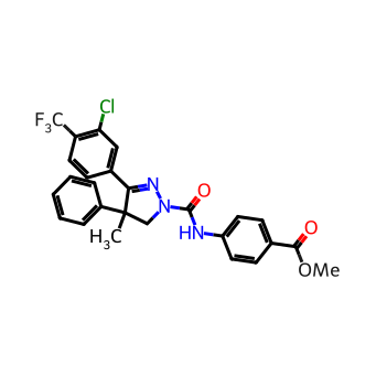 COC(=O)c1ccc(NC(=O)N2CC(C)(c3ccccc3)C(c3ccc(C(F)(F)F)c(Cl)c3)=N2)cc1